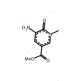 COC(=O)c1cc([N+](=O)[O-])c(=O)n(C)c1